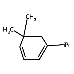 CC(C)C1=CC=CC(C)(C)C1